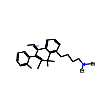 C/C=C1\C(c2ccccc2C)=C(C)C(C)(C)c2c(CCCCN(CC)CC)cccc21